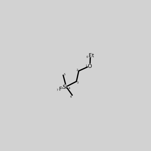 CCOCC[Si](C)(C)F